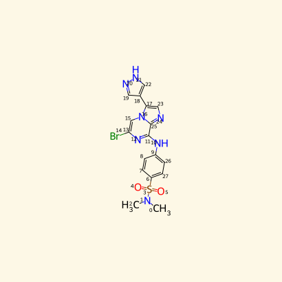 CN(C)S(=O)(=O)c1ccc(Nc2nc(Br)cn3c(-c4cn[nH]c4)cnc23)cc1